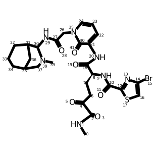 CNC(=O)C(=O)CC[C@H](NC(=O)c1nc(Br)cs1)C(=O)Nc1cccn(CC(=O)NC2C3CCCC(C3)CN2C)c1=O